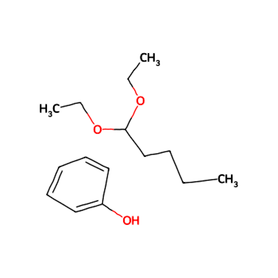 CCCCC(OCC)OCC.Oc1ccccc1